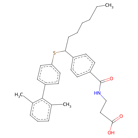 CCCCCCC(Sc1ccc(-c2c(C)cccc2C)cc1)c1ccc(C(=O)NCCC(=O)O)cc1